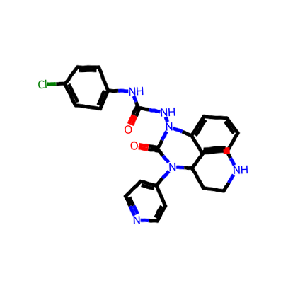 O=C(Nc1ccc(Cl)cc1)NN(C(=O)N(c1ccncc1)C1CCNCC1)c1ccccc1